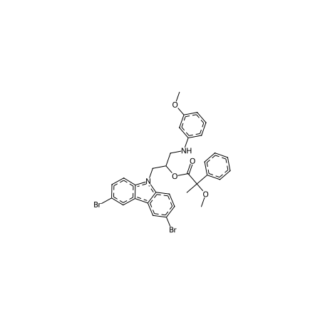 COc1cccc(NCC(Cn2c3ccc(Br)cc3c3cc(Br)ccc32)OC(=O)C(C)(OC)c2ccccc2)c1